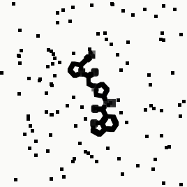 N#CC1CCCN1C(=O)CN1CCC(NC(=O)c2cccc3ccoc23)C1